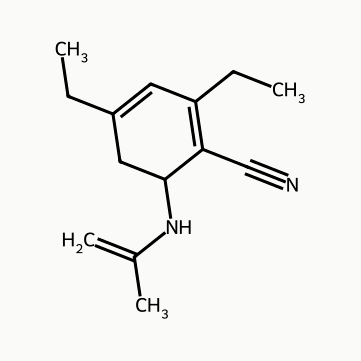 C=C(C)NC1CC(CC)=CC(CC)=C1C#N